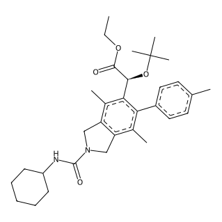 CCOC(=O)[C@@H](OC(C)(C)C)c1c(C)c2c(c(C)c1-c1ccc(C)cc1)CN(C(=O)NC1CCCCC1)C2